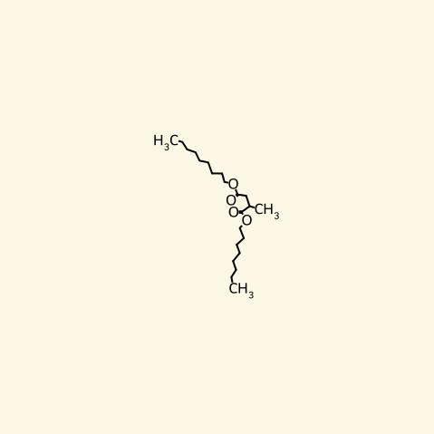 CCCCCCCCCOC(=O)CC(C)C(=O)OCCCCCCCC